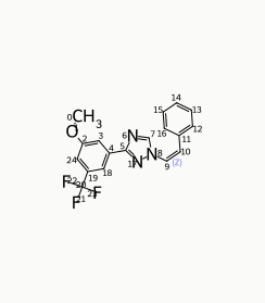 COc1cc(-c2ncn(/C=C\c3ccccc3)n2)cc(C(F)(F)F)c1